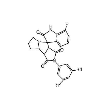 O=C1C2C3CCCN3C3(C(=O)Nc4c(F)ccc(F)c43)C2C(=O)N1c1cc(Cl)cc(Cl)c1